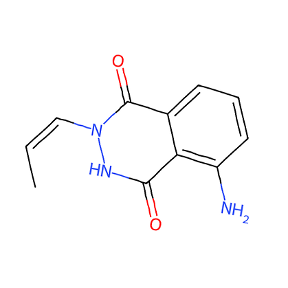 C/C=C\n1[nH]c(=O)c2c(N)cccc2c1=O